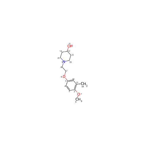 COc1ccc(OCCN2CCC(O)CC2)cc1C